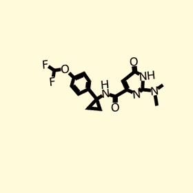 CN(C)c1nc(C(=O)NC2(c3ccc(OC(F)F)cc3)CC2)cc(=O)[nH]1